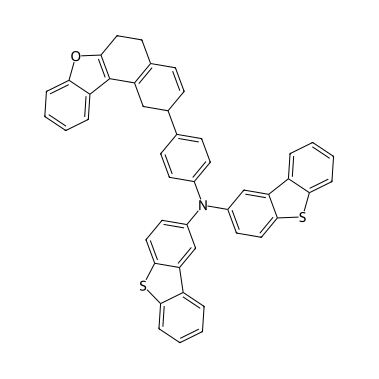 C1=CC(c2ccc(N(c3ccc4sc5ccccc5c4c3)c3ccc4sc5ccccc5c4c3)cc2)CC2=C1CCc1oc3ccccc3c12